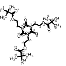 CC(C)(S)C(=O)OCCn1c(=O)n(CCOC(=O)C(C)(C)S)c(=O)n(CCOC(=O)C(C)(C)S)c1=O